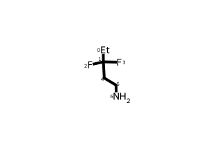 CCC(F)(F)CCN